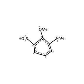 C[N]c1cccc(S(=O)(=O)O)c1OC